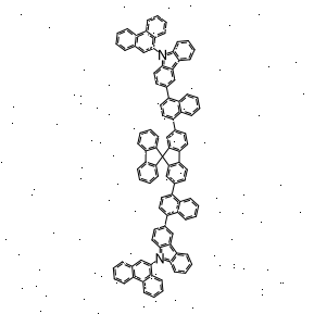 c1ccc2c(c1)-c1ccccc1C21c2cc(-c3ccc(-c4ccc5c(c4)c4ccccc4n5-c4cc5ccccc5c5ccccc45)c4ccccc34)ccc2-c2ccc(-c3ccc(-c4ccc5c(c4)c4ccccc4n5-c4cc5ccccc5c5ccccc45)c4ccccc34)cc21